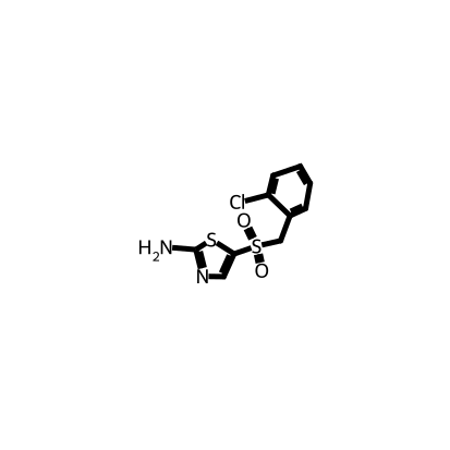 Nc1ncc(S(=O)(=O)Cc2ccccc2Cl)s1